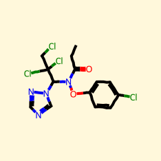 CCC(=O)N(Oc1ccc(Cl)cc1)C(n1cncn1)C(Cl)(Cl)CCl